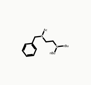 CCCCN(CCCC)CCN(Cc1ccccc1)C(C)=O